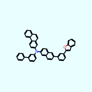 c1ccc(-c2cccc(N(c3ccc4cc(-c5cccc(-c6cc7ccccc7o6)c5)ccc4c3)c3ccc4c(ccc5ccccc54)c3)c2)cc1